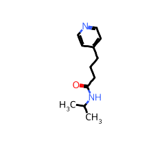 CC(C)NC(=O)CCCc1ccncc1